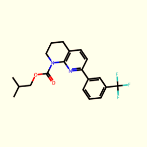 CC(C)COC(=O)N1CCCc2ccc(-c3cccc(C(F)(F)F)c3)nc21